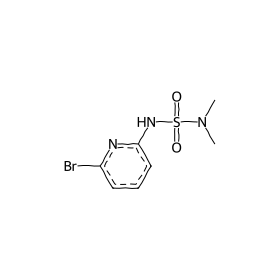 CN(C)S(=O)(=O)Nc1cccc(Br)n1